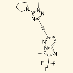 Cc1c(C(F)(F)F)nc2ccc(C#Cc3nc(N4CCCC4)n(C)n3)nn12